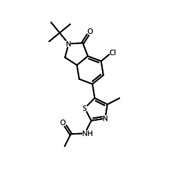 CC(=O)Nc1nc(C)c(C2=CC(Cl)=C3C(=O)N(C(C)(C)C)CC3C2)s1